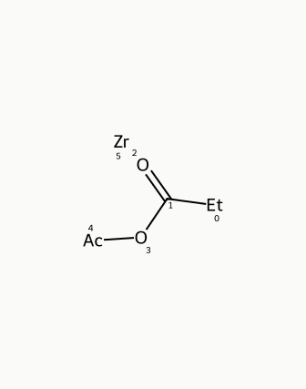 CCC(=O)OC(C)=O.[Zr]